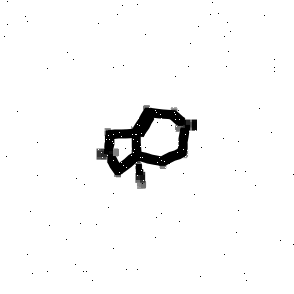 C1=C2CNC[C@@H]2CCNC1